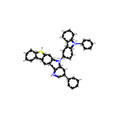 c1ccc(-c2cnc3c4cc5c(cc4n(-c4ccc6c(c4)c4ccccc4n6-c4ccccc4)c3c2)sc2ccccc25)cc1